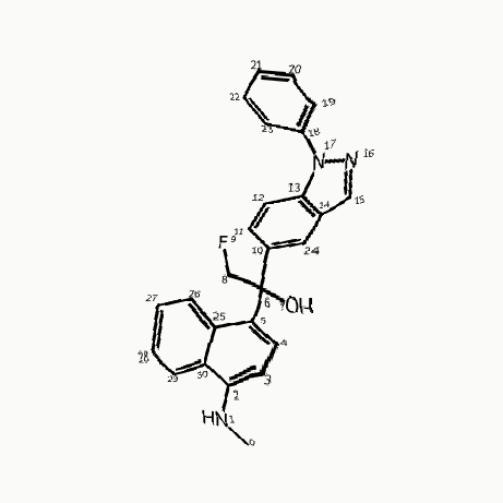 CNc1ccc(C(O)(CF)c2ccc3c(cnn3-c3ccccc3)c2)c2ccccc12